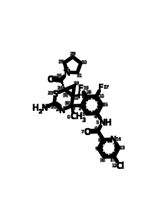 C[C@@]1(c2cc(NC(=O)c3ccc(Cl)cn3)cc(F)c2F)N=C(N)S[C@@]2(C(=O)N3CCCC3)C[C@@H]12